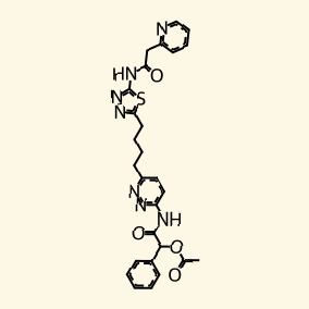 CC(=O)OC(C(=O)Nc1ccc(CCCCc2nnc(NC(=O)Cc3ccccn3)s2)nn1)c1ccccc1